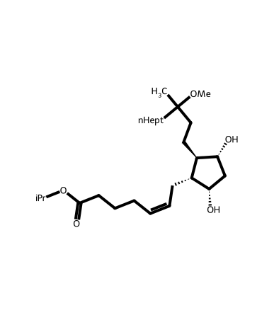 CCCCCCCC(C)(CC[C@@H]1[C@@H](C/C=C\CCCC(=O)OC(C)C)[C@@H](O)C[C@H]1O)OC